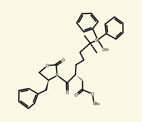 CC(C)(C)OC(=O)C[C@@H](CCCC(C)(C)[Si](O)(c1ccccc1)c1ccccc1)C(=O)N1C(=O)OC[C@@H]1Cc1ccccc1